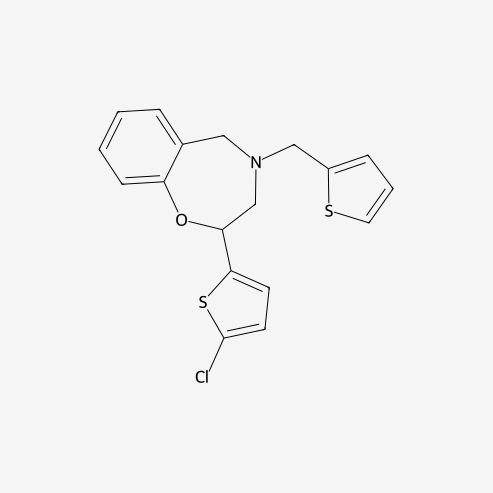 Clc1ccc(C2CN(Cc3cccs3)Cc3ccccc3O2)s1